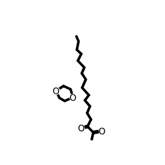 C1COCCO1.CCCCCCCCCCCCCCC(=O)C(C)=O